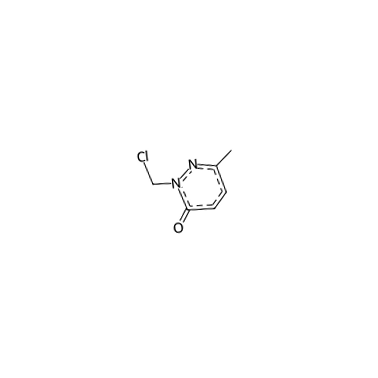 Cc1ccc(=O)n(CCl)n1